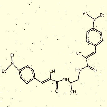 CCN(CC)c1ccc(/C=C(\C#N)C(=O)NCC(C)NC(=O)/C(C#N)=C/c2ccc(N(CC)CC)cc2)cc1